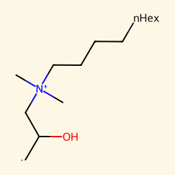 [CH2]C(O)C[N+](C)(C)CCCCCCCCCC